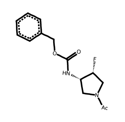 CC(=O)N1C[C@@H](F)[C@@H](NC(=O)OCc2ccccc2)C1